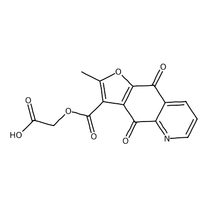 Cc1oc2c(c1C(=O)OCC(=O)O)C(=O)c1ncccc1C2=O